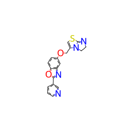 C1=C(COc2ccc3oc(-c4cccnc4)nc3c2)N2CCN=C2S1